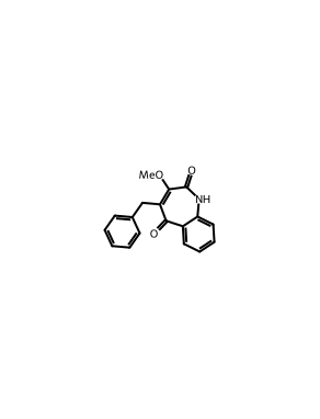 COc1c(Cc2ccccc2)c(=O)c2ccccc2[nH]c1=O